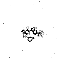 CP(C)(=O)c1ccc2c(-c3nc(N[C@H]4CCCNC4)c4nccn4c3Cl)c[nH]c2c1